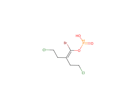 O=[PH](O)OC(Br)=C(CCCl)CCCl